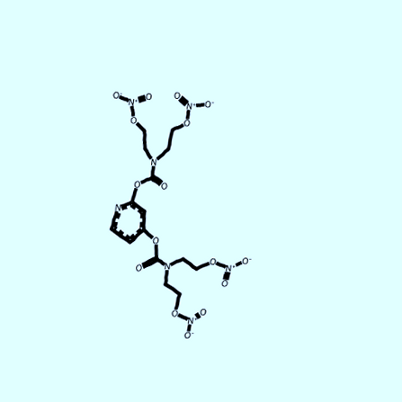 O=C(Oc1ccnc(OC(=O)N(CCO[N+](=O)[O-])CCO[N+](=O)[O-])c1)N(CCO[N+](=O)[O-])CCO[N+](=O)[O-]